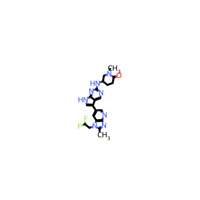 Cc1nc2ncc(-c3c[nH]c4nc(NC5CCC(=O)N(C)C5)ncc34)cc2n1CC(F)F